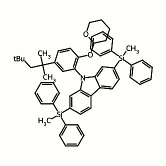 CC(C)(C)CC(C)(C)c1ccc(OC2CCCCO2)c(-n2c3cc([Si](C)(c4ccccc4)c4ccccc4)ccc3c3ccc([Si](C)(c4ccccc4)c4ccccc4)cc32)c1